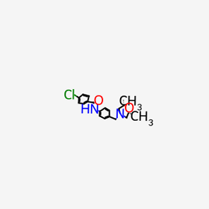 C[C@@H]1CN(Cc2ccc(NC(=O)c3ccc(Cl)cc3)cc2)C[C@H](C)O1